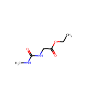 CCOC(=O)CNC(=O)NC